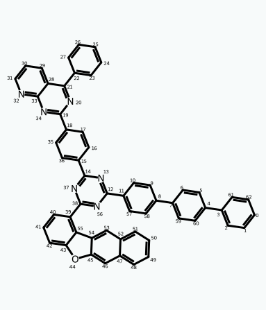 c1ccc(-c2ccc(-c3ccc(-c4nc(-c5ccc(-c6nc(-c7ccccc7)c7cccnc7n6)cc5)nc(-c5cccc6oc7cc8ccccc8cc7c56)n4)cc3)cc2)cc1